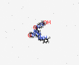 Cc1cccc(C2C=CN(c3cc(N4CCOCC4)n4nc(C(=O)N5CCN(C(C)(C)O)CC5)cc4n3)N2)c1